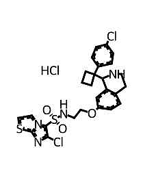 Cl.O=S(=O)(NCCOc1ccc2c(c1)C(C1(c3ccc(Cl)cc3)CCC1)NCC2)c1c(Cl)nc2sccn12